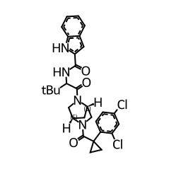 CC(C)(C)C(NC(=O)c1cc2ccccc2[nH]1)C(=O)N1C[C@@H]2C[C@H]1CN2C(=O)C1(c2ccc(Cl)cc2Cl)CC1